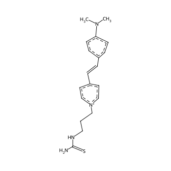 CN(C)c1ccc(/C=C/c2cc[n+](CCCNC(N)=S)cc2)cc1